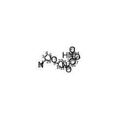 N#Cc1cccc(OCC2CCN(C(=O)c3ccc4c(c3)NC(=O)CO4)CC2)c1